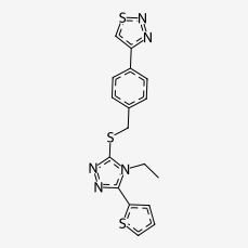 CCn1c(SCc2ccc(-c3csnn3)cc2)nnc1-c1cccs1